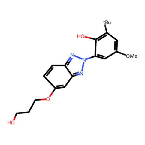 COc1cc(-n2nc3ccc(OCCCO)cc3n2)c(O)c(C(C)(C)C)c1